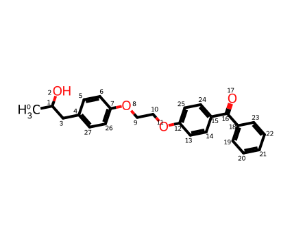 C[C](O)Cc1ccc(OCCOc2ccc(C(=O)c3ccccc3)cc2)cc1